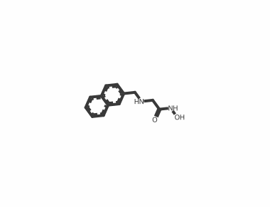 O=C(CNCc1ccc2ccccc2c1)NO